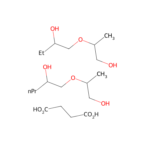 CCC(O)COC(C)CO.CCCC(O)COC(C)CO.O=C(O)CCC(=O)O